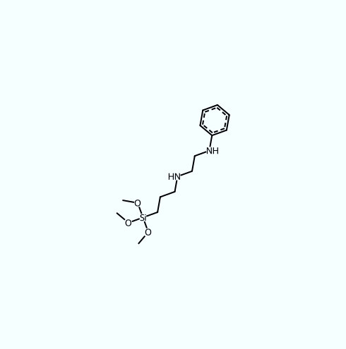 CO[Si](CCCNCCNc1ccccc1)(OC)OC